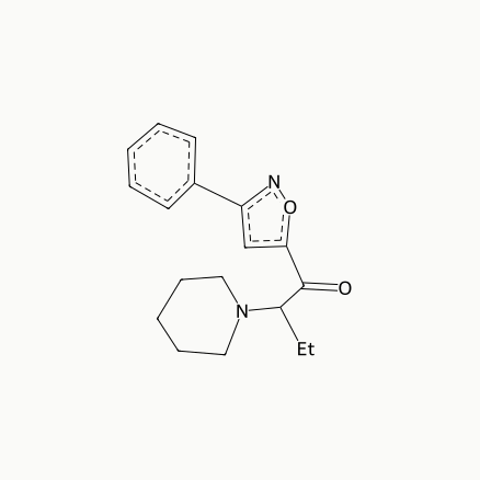 CCC(C(=O)c1cc(-c2ccccc2)no1)N1CCCCC1